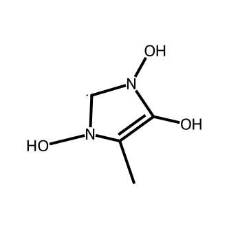 CC1=C(O)N(O)[CH]N1O